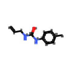 C=CCNC(=O)Nc1ccc(C)cc1